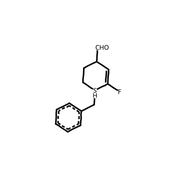 O=CC1C=C(F)[SH](Cc2ccccc2)CC1